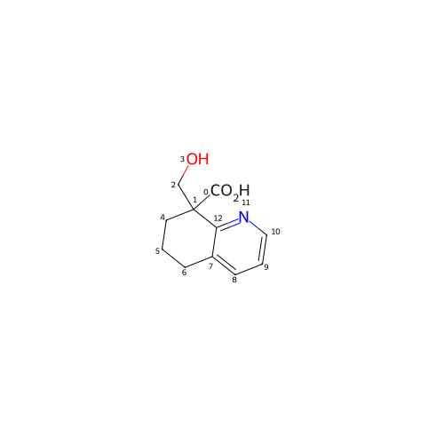 O=C(O)C1(CO)CCCc2cccnc21